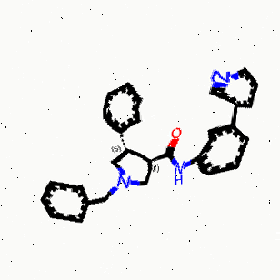 O=C(Nc1cccc(-c2cccnc2)c1)[C@H]1CN(Cc2ccccc2)C[C@@H]1c1ccccc1